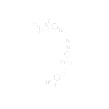 CC1(C)C(NC(=O)c2ccc(N3CCN(CC4CCN(c5ccc6c(c5)C(=O)N(C5CCC(=O)NC5=O)C6=O)CC4)CC3)cc2)C(C)(C)C1Oc1ccc(C#N)c(F)c1